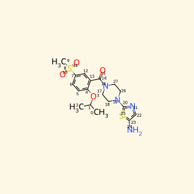 CC(C)Oc1ccc(S(C)(=O)=O)cc1C(=O)N1CCN(c2ncc(N)s2)CC1